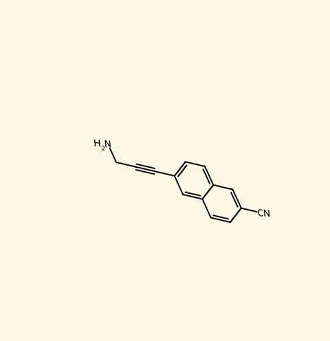 N#Cc1ccc2cc(C#CCN)ccc2c1